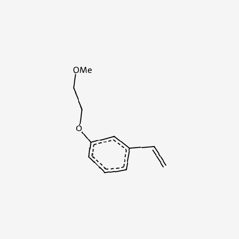 C=Cc1cccc(OCCOC)c1